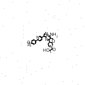 C=S(C)(=O)c1ccc(-c2ccc(-c3cnn4c(N)c(C=O)c(C5CCN(C(=O)[C@@H](C)O)CC5)nc34)cn2)cc1